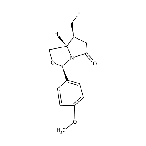 COc1ccc([C@H]2OC[C@@H]3[C@@H](CF)CC(=O)N23)cc1